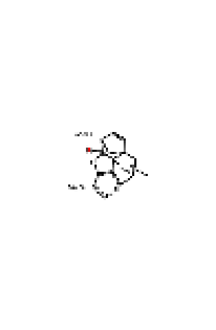 COc1ccc2c3c1O[C@@H]1C34CCN(C)C(C2)[C@]42C=C[C@@]1(OC)[C@@H](C(C)=O)C2